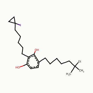 CCC(C)(C)CCCCCc1ccc(O)c(CCCCCC2(I)CC2)c1O